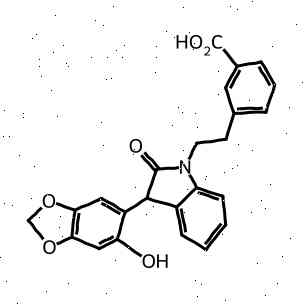 O=C(O)c1cccc(CCN2C(=O)C(c3cc4c(cc3O)OCO4)c3ccccc32)c1